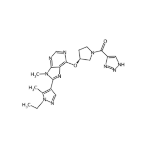 CCn1ncc(-c2nc3c(O[C@H]4CCN(C(=O)c5c[nH]nn5)C4)ncnc3n2C)c1C